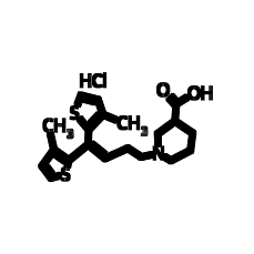 Cc1ccsc1C(=CCCN1CCCC(C(=O)O)C1)c1sccc1C.Cl